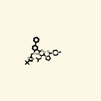 CC(C)C[C@@H](NC(=O)c1cc(-c2ccccc2)ccc1OCc1ncc(C(C)(C)C)o1)C(=O)N1CCC[C@@H]1C(=O)N1CCN(C)CC1